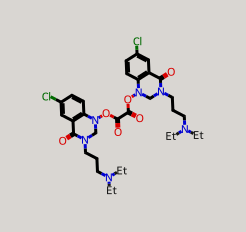 CCN(CC)CCCN1CN(OC(=O)C(=O)ON2CN(CCCN(CC)CC)C(=O)c3cc(Cl)ccc32)c2ccc(Cl)cc2C1=O